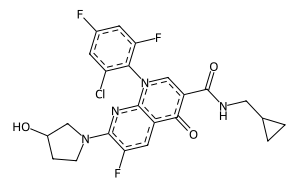 O=C(NCC1CC1)c1cn(-c2c(F)cc(F)cc2Cl)c2nc(N3CCC(O)C3)c(F)cc2c1=O